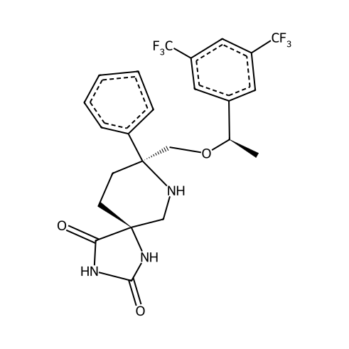 C[C@@H](OC[C@@]1(c2ccccc2)CC[C@@]2(CN1)NC(=O)NC2=O)c1cc(C(F)(F)F)cc(C(F)(F)F)c1